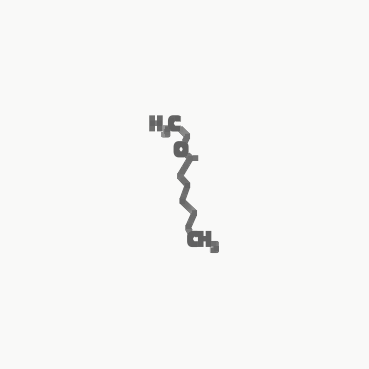 CCCCCC[CH]OCC